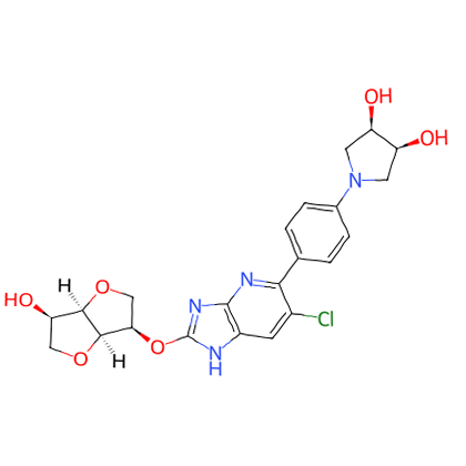 O[C@@H]1CO[C@H]2[C@@H]1OC[C@H]2Oc1nc2nc(-c3ccc(N4C[C@@H](O)[C@@H](O)C4)cc3)c(Cl)cc2[nH]1